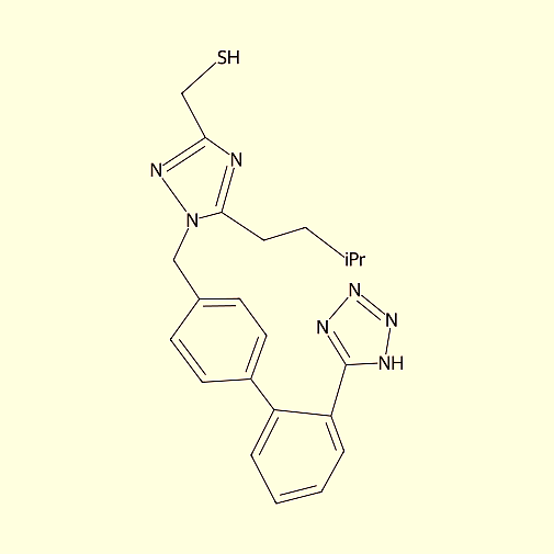 CC(C)CCc1nc(CS)nn1Cc1ccc(-c2ccccc2-c2nnn[nH]2)cc1